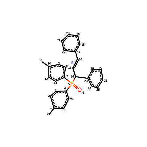 Cc1ccc(P(=O)(c2ccc(C)cc2)C(/C=C/c2ccccc2)c2ccccc2)cc1